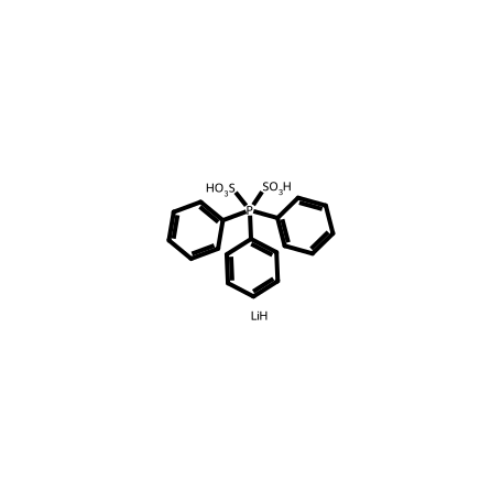 O=S(=O)(O)P(c1ccccc1)(c1ccccc1)(c1ccccc1)S(=O)(=O)O.[LiH]